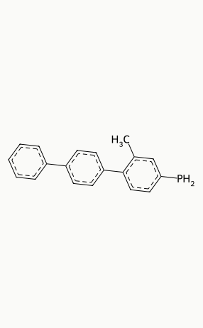 Cc1cc(P)ccc1-c1ccc(-c2ccccc2)cc1